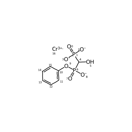 O=P([O-])([O-])C(O)P(=O)([O-])Oc1ccccc1.[Cr+3]